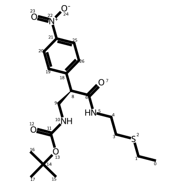 CCSCCNC(=O)[C@@H](CNC(=O)OC(C)(C)C)c1ccc([N+](=O)[O-])cc1